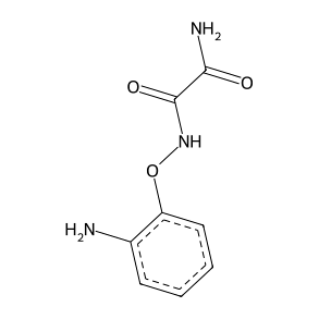 NC(=O)C(=O)NOc1ccccc1N